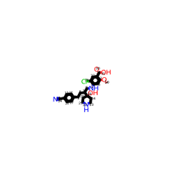 COc1cc(NCC(CCc2ccc(C#N)cc2)C2(O)CCNCC2)c(Cl)cc1C(=O)O